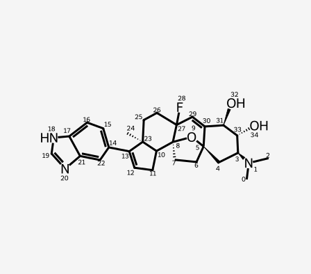 CN(C)[C@H]1C[C@@]23CC[C@]4(O2)C2CC=C(c5ccc6[nH]cnc6c5)[C@@]2(C)CCC4(F)C=C3[C@@H](O)[C@@H]1O